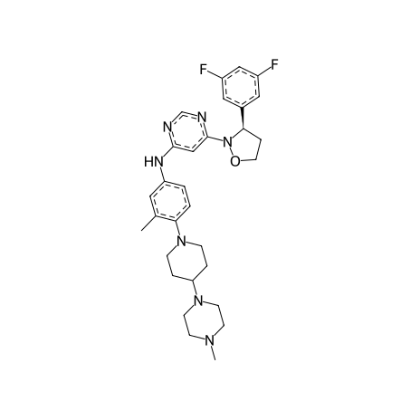 Cc1cc(Nc2cc(N3OCC[C@@H]3c3cc(F)cc(F)c3)ncn2)ccc1N1CCC(N2CCN(C)CC2)CC1